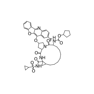 O=C(NC1CCCCCCCC2CC2(C(=O)NS(=O)(=O)C2CC2)NC(=O)C2CC(Oc3c4cc(F)ccc4nc4c3oc3ccccc34)CN2C1=O)OC1CCCC1